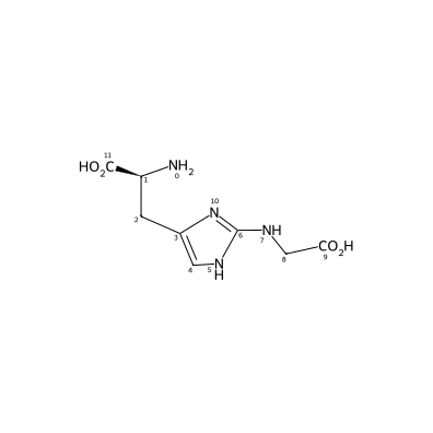 N[C@@H](Cc1c[nH]c(NCC(=O)O)n1)C(=O)O